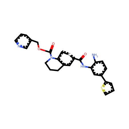 Nc1ccc(-c2cccs2)cc1NC(=O)c1ccc2c(c1)CCCN2C(=O)OCc1cccnc1